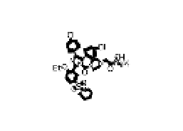 CCOc1ccc(S(=O)(=O)N2CCCCC2)cc1C1=N[C@@H](c2ccc(Cl)cc2)[C@@H](c2ccc(Cl)cc2)N1C(=O)N1CCN(CC(=O)N(C)C(C)C)CC1